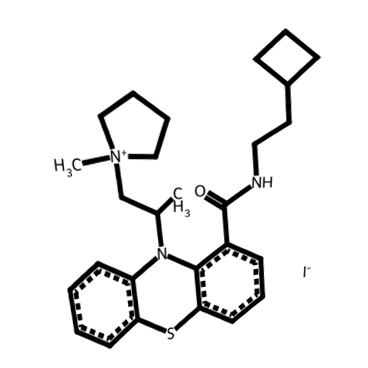 CC(C[N+]1(C)CCCC1)N1c2ccccc2Sc2cccc(C(=O)NCCC3CCC3)c21.[I-]